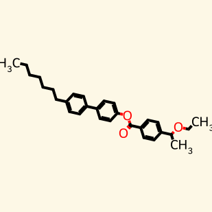 CCCCCCCc1ccc(-c2ccc(OC(=O)c3ccc(C(C)OCC)cc3)cc2)cc1